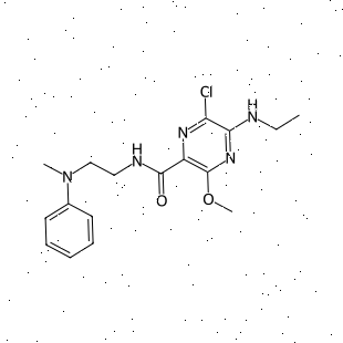 CCNc1nc(OC)c(C(=O)NCCN(C)c2ccccc2)nc1Cl